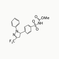 COC(=O)NS(=O)(=O)c1ccc(C2CC(C(F)(F)F)=NN2c2ccccc2)cc1